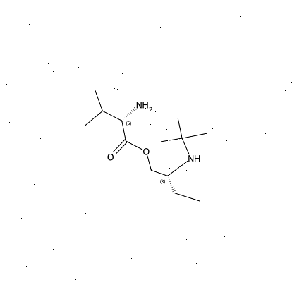 CC[C@H](COC(=O)[C@@H](N)C(C)C)NC(C)(C)C